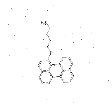 CCCCCOc1ccc2cccc3c4cccc5cccc(c1c23)c54